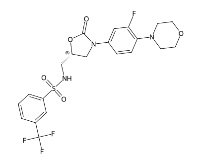 O=C1O[C@@H](CNS(=O)(=O)c2cccc(C(F)(F)F)c2)CN1c1ccc(N2CCOCC2)c(F)c1